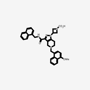 COc1ccc(CN2CCc3c(c(C(=O)NCc4cccc5ccccc45)nn3C3CN(C(=O)O)C3)C2)c2ccccc12